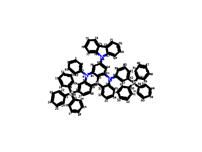 c1ccc(N2c3cc([Si](c4ccccc4)(c4ccccc4)c4ccccc4)ccc3B3c4ccccc4N(c4cccc([Si](c5ccccc5)(c5ccccc5)c5ccccc5)c4)c4cc(-n5c6ccccc6c6ccccc65)cc2c43)cc1